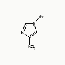 CC(C)n1cnc([N+](=O)[O-])c1